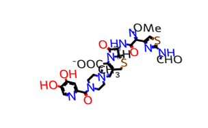 CON=C(C(=O)N[C@@H]1C(=O)N2C(C(=O)[O-])=C(C[N+]3(C)CCN(C(=O)c4cc(O)c(O)cn4)CC3)CS[C@@H]12)c1csc(NC=O)n1